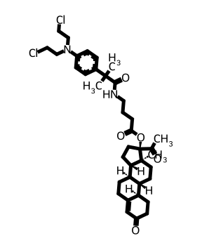 CC(=O)[C@@]1(OC(=O)CCCNC(=O)C(C)(C)c2ccc(N(CCCl)CCCl)cc2)CC[C@H]2[C@@H]3CCC4=CC(=O)CC[C@@H]4[C@H]3CC[C@@]21C